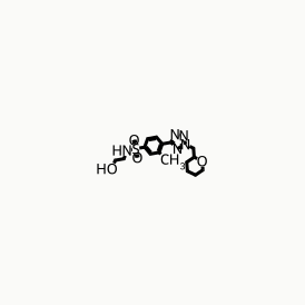 Cc1cc(S(=O)(=O)NCCO)ccc1-c1nnn(CC2CCCCO2)n1